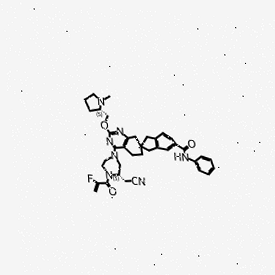 C=C(F)C(=O)N1CCN(c2nc(OC[C@@H]3CCCN3C)nc3c2CCC2(Cc4ccc(C(=O)Nc5ccccc5)cc4C2)C3)C[C@@H]1CC#N